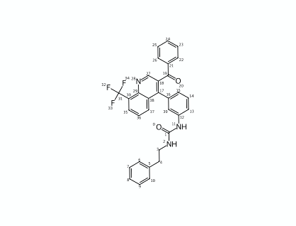 O=C(NCCc1ccccc1)Nc1cccc(-c2c(C(=O)c3ccccc3)cnc3c(C(F)(F)F)cccc23)c1